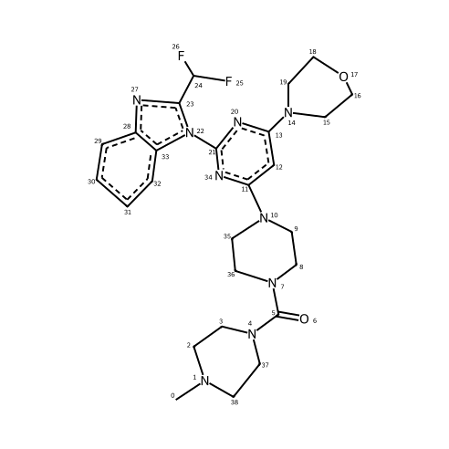 CN1CCN(C(=O)N2CCN(c3cc(N4CCOCC4)nc(-n4c(C(F)F)nc5ccccc54)n3)CC2)CC1